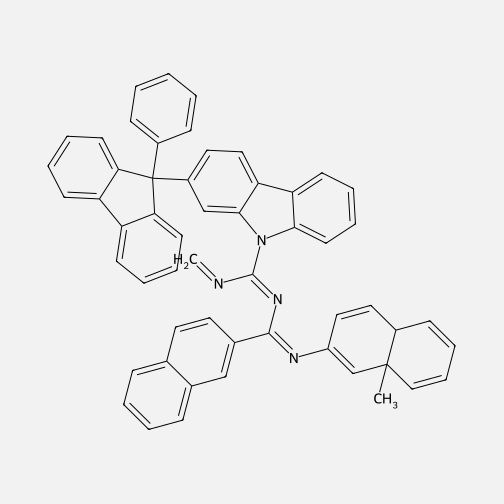 C=N/C(=N\C(=N/C1=CC2(C)C=CC=CC2C=C1)c1ccc2ccccc2c1)n1c2ccccc2c2ccc(C3(c4ccccc4)c4ccccc4-c4ccccc43)cc21